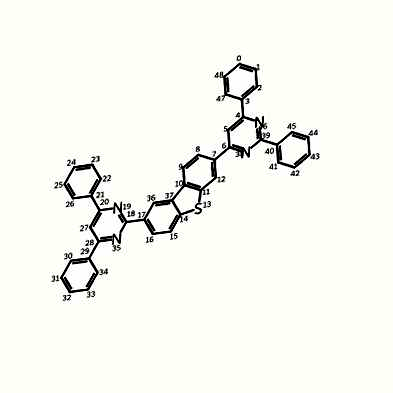 c1ccc(-c2cc(-c3ccc4c(c3)sc3ccc(-c5nc(-c6ccccc6)cc(-c6ccccc6)n5)cc34)nc(-c3ccccc3)n2)cc1